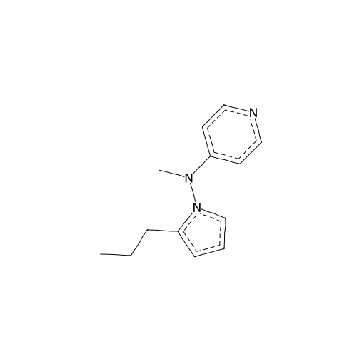 CCCc1cccn1N(C)c1ccncc1